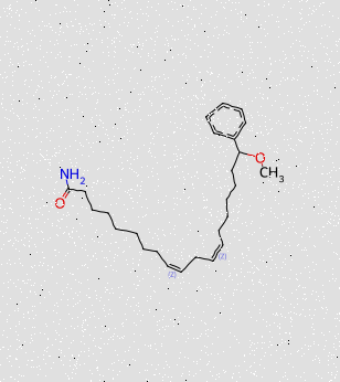 COC(CCCCC/C=C\C/C=C\CCCCCCCC(N)=O)c1ccccc1